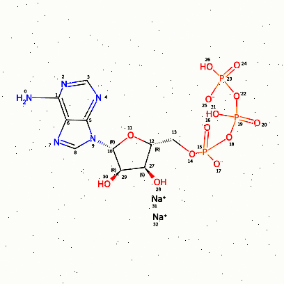 Nc1ncnc2c1ncn2[C@@H]1O[C@H](COP(=O)([O-])OP(=O)(O)OP(=O)([O-])O)[C@@H](O)[C@H]1O.[Na+].[Na+]